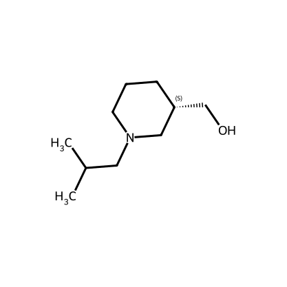 CC(C)CN1CCC[C@H](CO)C1